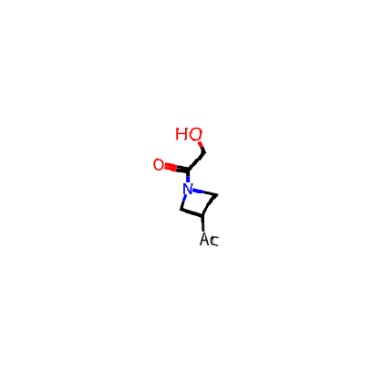 CC(=O)C1CN(C(=O)CO)C1